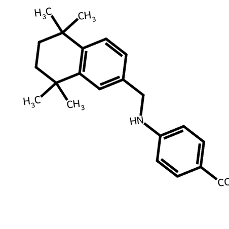 CC1(C)CCC(C)(C)c2cc(CNc3ccc(C(=O)O)cc3)ccc21